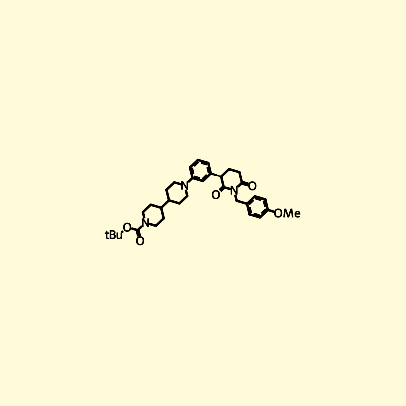 COc1ccc(CN2C(=O)CC[C@H](c3cccc(N4CCC(C5CCN(C(=O)OC(C)(C)C)CC5)CC4)c3)C2=O)cc1